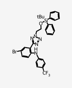 CC(C)(C)[Si](OCCn1nnc(-c2cc(Br)ccc2Nc2ccc(C(F)(F)F)cc2)n1)(c1ccccc1)c1ccccc1